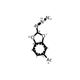 CC(=O)c1ccc2c(c1)OC(N=[N+]=[N-])O2